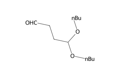 CCCCOC(CCC=O)OCCCC